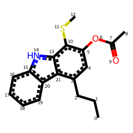 CCCc1cc(OC(C)=O)c(SC)c2[nH]c3ccccc3c12